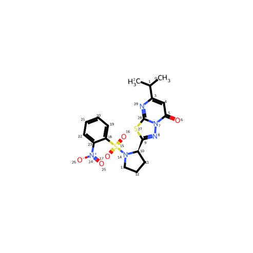 CC(C)c1cc(=O)n2nc([C@H]3CCCN3S(=O)(=O)c3ccccc3[N+](=O)[O-])sc2n1